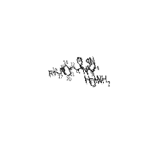 NC(=O)c1cnsc1NC(=O)CCC1CCN(CCF)CC1